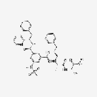 CCNC(=O)[C@@H](NC(=O)[C@H](C)NC[C@H](Cc1ccccc1)NC(=O)c1cc(C(=O)NC(Cc2ccccc2)c2ccccn2)cc(N(C)S(C)(=O)=O)c1)C(C)C